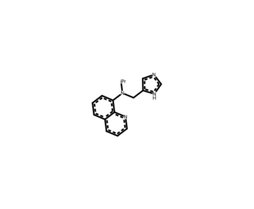 CC(C)N(Cc1cnc[nH]1)c1cccc2cccnc12